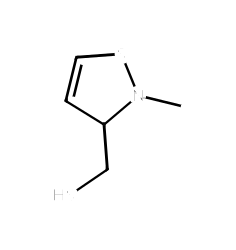 CN1SC=CC1CS